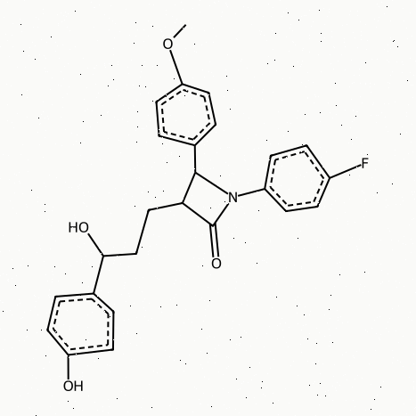 COc1ccc(C2C(CCC(O)c3ccc(O)cc3)C(=O)N2c2ccc(F)cc2)cc1